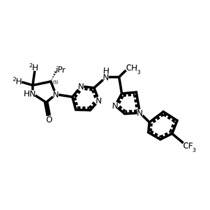 [2H]C1([2H])NC(=O)N(c2ccnc(NC(C)c3cn(-c4ccc(C(F)(F)F)cc4)cn3)n2)[C@H]1C(C)C